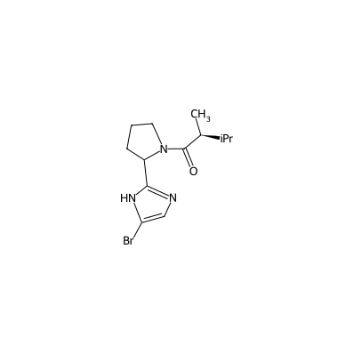 CC(C)[C@H](C)C(=O)N1CCCC1c1ncc(Br)[nH]1